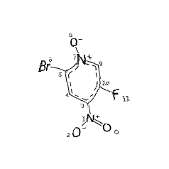 O=[N+]([O-])c1cc(Br)[n+]([O-])cc1F